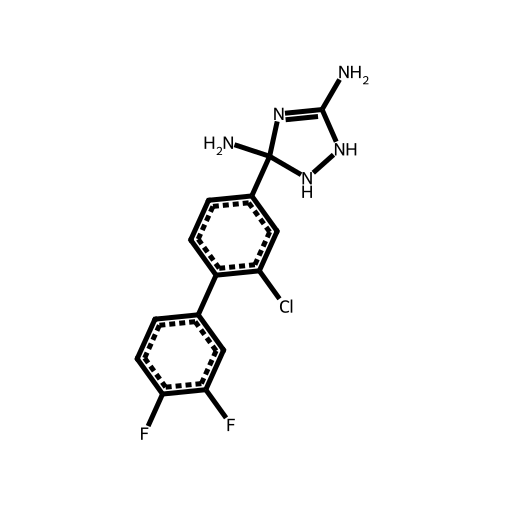 NC1=NC(N)(c2ccc(-c3ccc(F)c(F)c3)c(Cl)c2)NN1